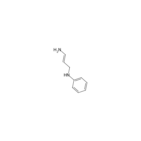 NC=CCNc1ccccc1